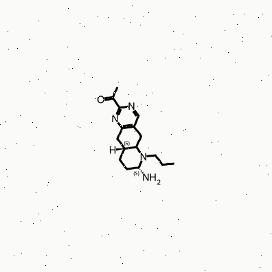 CCCN1C2Cc3cnc(C(C)=O)nc3C[C@H]2CC[C@H]1N